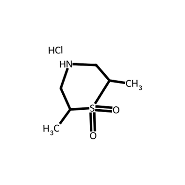 CC1CNCC(C)S1(=O)=O.Cl